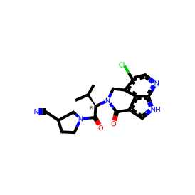 CC(C)[C@H](C(=O)N1CCC(C#N)C1)N1Cc2c(Cl)cnc3[nH]cc(c23)C1=O